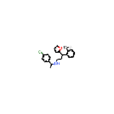 COc1ccccc1C(CCNC(C)c1ccc(Cl)cc1)c1ccco1